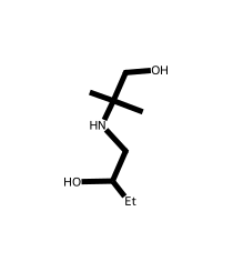 CCC(O)CNC(C)(C)CO